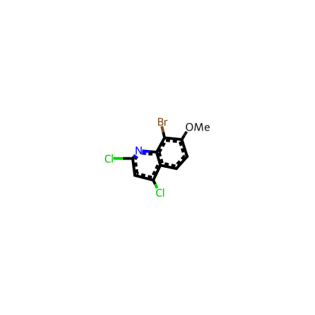 COc1ccc2c(Cl)cc(Cl)nc2c1Br